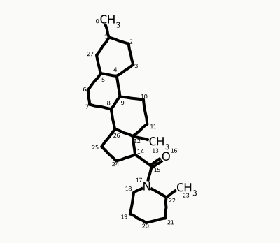 CC1CCC2C(CCC3C2CCC2(C)C(C(=O)N4CCCCC4C)CCC32)C1